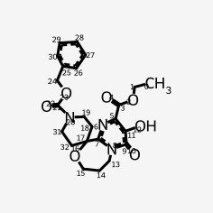 CCOC(=O)c1nc2n(c(=O)c1O)CCCOC21CCN(C(=O)OCc2ccccc2)CC1